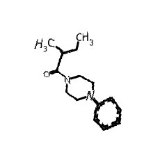 CCC(C)C(=O)N1CCN(c2ccccc2)CC1